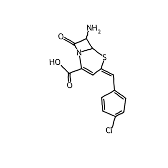 NC1C(=O)N2C(C(=O)O)=CC(=Cc3ccc(Cl)cc3)SC12